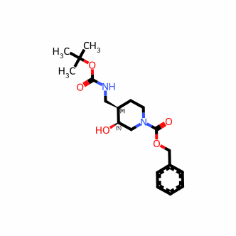 CC(C)(C)OC(=O)NC[C@H]1CCN(C(=O)OCc2ccccc2)C[C@H]1O